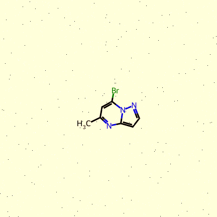 Cc1cc(Br)n2nccc2n1